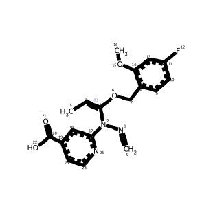 C=NN(/C(=C\C)OCc1ccc(F)cc1OC)c1cc(C(=O)O)ccn1